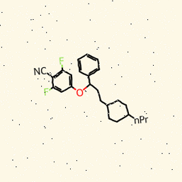 CCCC1CCC(CCC(Oc2cc(F)c(C#N)c(F)c2)c2ccccc2)CC1